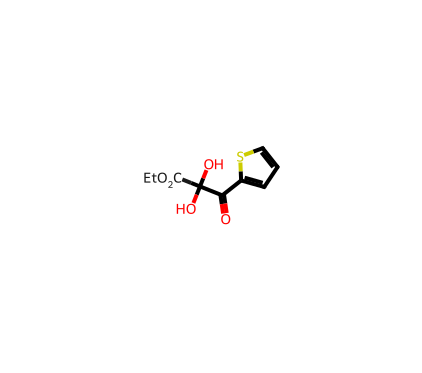 CCOC(=O)C(O)(O)C(=O)c1cccs1